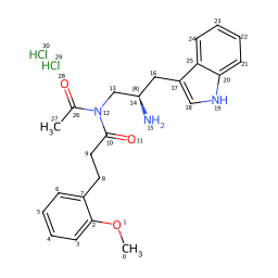 COc1ccccc1CCC(=O)N(C[C@H](N)Cc1c[nH]c2ccccc12)C(C)=O.Cl.Cl